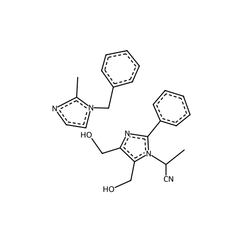 CC(C#N)n1c(-c2ccccc2)nc(CO)c1CO.Cc1nccn1Cc1ccccc1